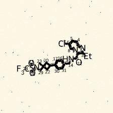 CCc1nc2ccc(Cl)cn2c1C(=O)NCc1ccc(C2CC3(C2)CN(S(=O)(=O)C(F)(F)F)C3)cc1